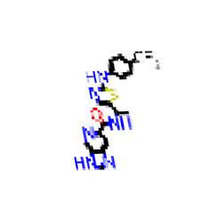 CC(NC(=O)c1cc2nc[nH]c2cn1)c1cnc(Nc2ccc(C(F)(F)F)cc2)s1